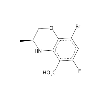 C[C@H]1COc2c(Br)cc(F)c(C(=O)O)c2N1